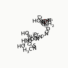 Cc1ncsc1-c1ccc([C@@H](CCO)NC(=O)[C@@H]2C[C@@H](O)CN2C(=O)[C@@H](c2cc(N3CCC(CN4CCC(O[C@H]5C[C@H](Oc6cc(N7C8CCC7CN(c7cc(-c9ccccc9O)nnc7N)C8)ccn6)C5)CC4)CC3)no2)C(C)C)cc1